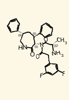 C[C@H](N)C(=O)N(C(=O)Cc1cc(F)cc(F)c1)[C@@H]1C(=O)NC[C@H](c2ccccc2)C[C@H]1c1ccccc1